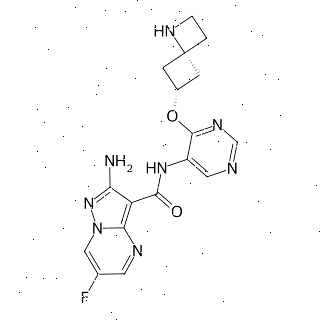 Nc1nn2cc(F)cnc2c1C(=O)Nc1cncnc1O[C@H]1C[C@]2(CCN2)C1